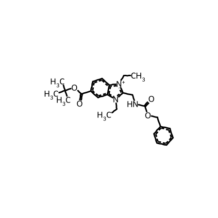 CCn1c(CNC(=O)OCc2ccccc2)[n+](CC)c2ccc(C(=O)OC(C)(C)C)cc21